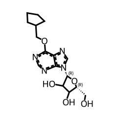 OC[C@H]1O[C@@H](n2cnc3c(OCC4CCCC4)ncnc32)C(O)C1O